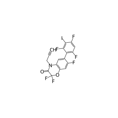 C#CCN1C(=O)C(F)(F)Oc2cc(F)c(-c3c(F)cc(F)c(I)c3F)cc21